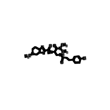 CN1CCc2nc(C(=O)NC(CNC(=O)CCc3ccc(Cl)cc3)C(=O)N(C)C)sc2C1